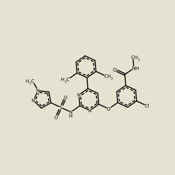 CNC(=O)c1cc(Cl)cc(Oc2cc(-c3c(C)cccc3C)nc(NS(=O)(=O)c3cnn(C)c3)n2)c1